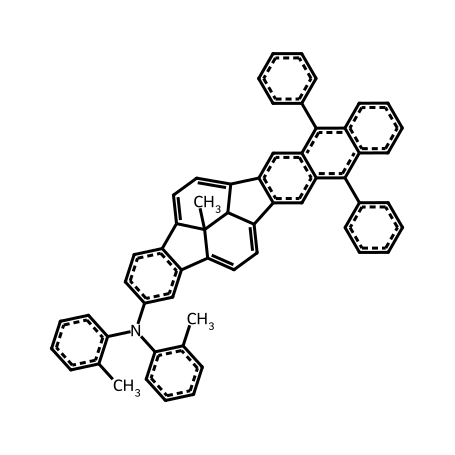 Cc1ccccc1N(c1ccc2c(c1)C1=CC=C3c4cc5c(-c6ccccc6)c6ccccc6c(-c6ccccc6)c5cc4C4=CC=C2C1(C)C43)c1ccccc1C